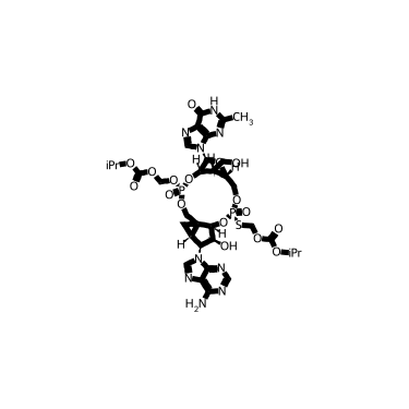 Cc1nc2c(ncn2[C@@H]2O[C@@H]3CO[P@@](=O)(SCOC(=O)OC(C)C)O[C@H]4[C@@H](O)[C@H](n5cnc6c(N)ncnc65)[C@H]5CC54CO[P@@](=O)(OCOC(=O)OC(C)C)O[C@@H]2[C@@H]3CO)c(=O)[nH]1